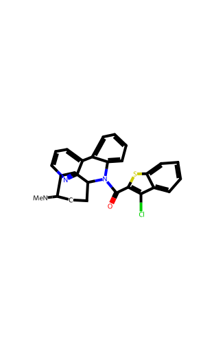 CNC1CCC(N(C(=O)c2sc3ccccc3c2Cl)c2ccccc2-c2cccnc2)CC1